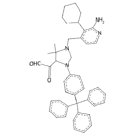 CC1(C)C(C(=O)C=O)N(c2ccc(C(c3ccccc3)(c3ccccc3)c3ccccc3)cc2)CN1Cc1ccnc(N)c1C1CCCCC1